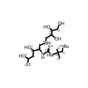 CCC(O)CC(O)C(CNCC(O)C(O)CO)NC(=S)NC(C)(C)CC(C)(C)C